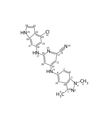 Cc1nn(C)c2ccc(Nc3cc(C#N)nc(Nc4cc(Cl)c5cc[nH]c5c4)c3)cc12